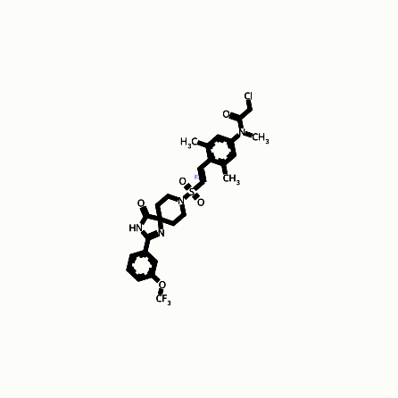 Cc1cc(N(C)C(=O)CCl)cc(C)c1/C=C/S(=O)(=O)N1CCC2(CC1)N=C(c1cccc(OC(F)(F)F)c1)NC2=O